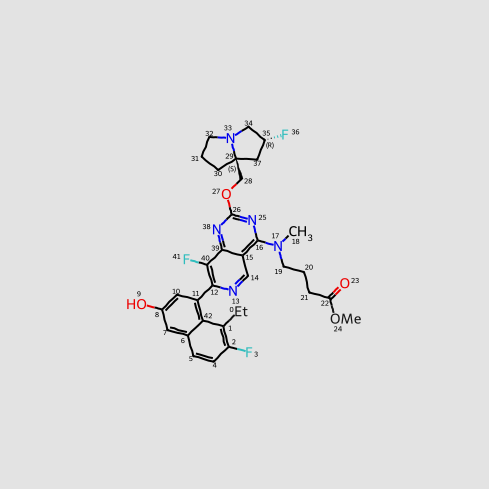 CCc1c(F)ccc2cc(O)cc(-c3ncc4c(N(C)CCCC(=O)OC)nc(OC[C@@]56CCCN5C[C@H](F)C6)nc4c3F)c12